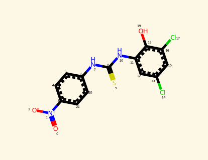 O=[N+]([O-])c1ccc(NC(=S)Nc2cc(Cl)cc(Cl)c2O)cc1